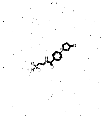 NS(=O)(=O)CCNC(=O)c1ccc([C@H]2CCC(=O)C2)cc1